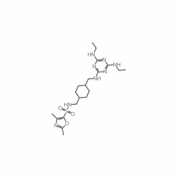 CCNc1nc(NCC)nc(NCC2CCC(CNS(=O)(=O)c3oc(C)nc3C)CC2)n1